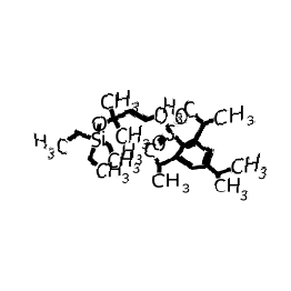 CC[Si](CC)(CC)OC(C)(C)CCOS(=O)(=O)c1c(C(C)C)cc(C(C)C)cc1C(C)C